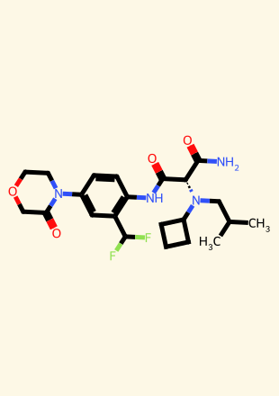 CC(C)CN(C1CCC1)[C@@H](C(N)=O)C(=O)Nc1ccc(N2CCOCC2=O)cc1C(F)F